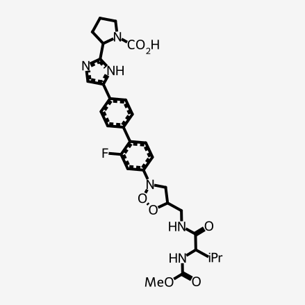 COC(=O)NC(C(=O)NCC1CN(c2ccc(-c3ccc(-c4cnc(C5CCCN5C(=O)O)[nH]4)cc3)c(F)c2)OO1)C(C)C